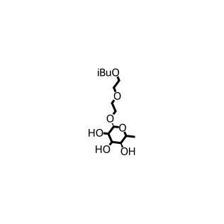 CC(C)COCCOCCO[C@@H]1OC(C)[C@@H](O)C(O)C1O